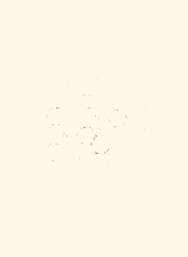 CC(C)(C)c1ccc(N2c3cc(C(C)(C)C)cc4c3B(c3cc(C5CCCCC5)ccc3N4c3ccc(C4CCCCC4)cc3)c3oc4c(c32)C(C)(C)CCC4(C)C)c(-c2ccccc2)c1